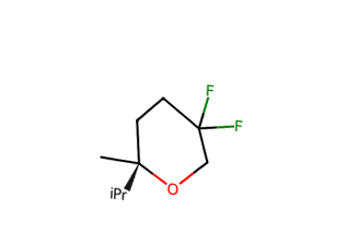 CC(C)[C@@]1(C)CCC(F)(F)CO1